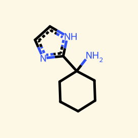 NC1(c2ncc[nH]2)CCCCC1